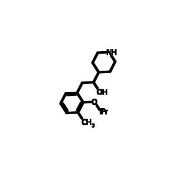 Cc1cccc(CC(O)C2CCNCC2)c1OC(C)C